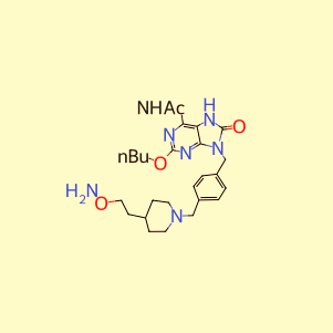 CCCCOc1nc(NC(C)=O)c2[nH]c(=O)n(Cc3ccc(CN4CCC(CCON)CC4)cc3)c2n1